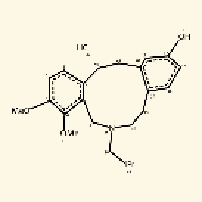 COc1ccc2c(c1OC)CN(CC(C)C)CCc1ccc(O)cc1CC2.Cl